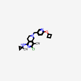 N#Cc1c(Cl)nc(NC2(C#N)CC2)c2c1CN(Cc1ccc(OC3CCC3)nc1)CC2